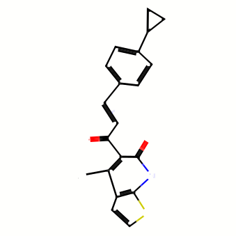 Cc1c(C(=O)/C=C/c2ccc(C3CC3)cc2)c(=O)[nH]c2sccc12